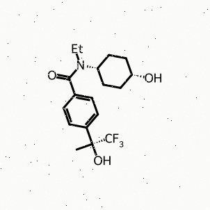 CCN(C(=O)c1ccc([C@](C)(O)C(F)(F)F)cc1)[C@H]1CC[C@@H](O)CC1